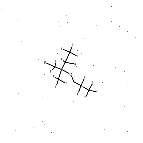 FC(F)(F)C(F)(F)COC(C(F)(F)F)(C(F)(F)F)C(F)(F)C(F)(F)F